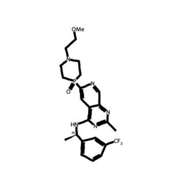 COCCN1CCP(=O)(c2cc3c(N[C@H](C)c4cccc(C(F)(F)F)c4)nc(C)nc3cn2)CC1